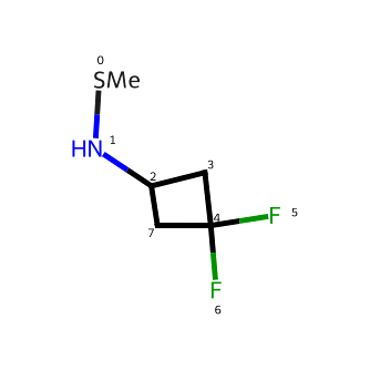 CSNC1CC(F)(F)C1